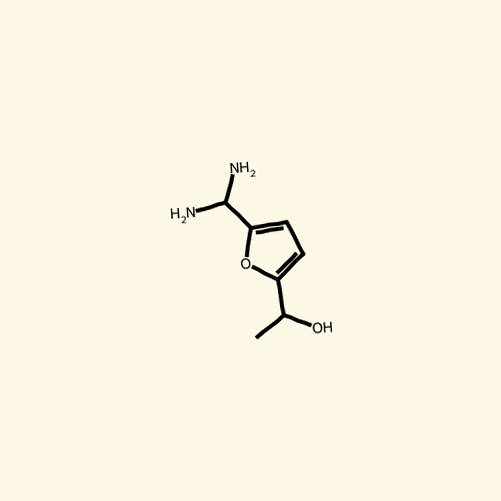 CC(O)c1ccc(C(N)N)o1